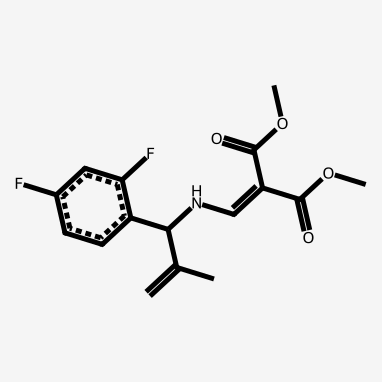 C=C(C)C(NC=C(C(=O)OC)C(=O)OC)c1ccc(F)cc1F